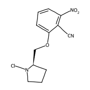 N#Cc1c(OC[C@H]2CCCN2Cl)cccc1[N+](=O)[O-]